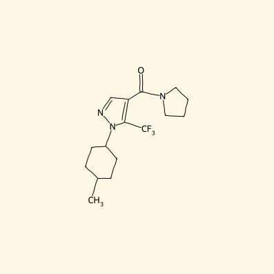 CC1CCC(n2ncc(C(=O)N3CCCC3)c2C(F)(F)F)CC1